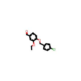 CCOc1cc(C=O)ccc1OCc1ccc(Cl)cc1